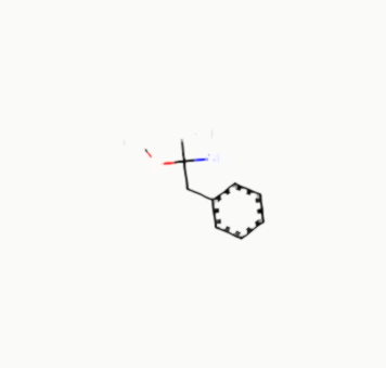 CC(C)(C)OC(N)(Cc1ccccc1)C(=O)O